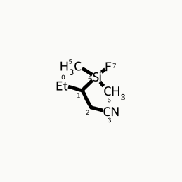 CCC(CC#N)[Si](C)(C)F